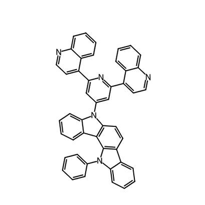 c1ccc(-n2c3ccccc3c3ccc4c(c5ccccc5n4-c4cc(-c5ccnc6ccccc56)nc(-c5ccnc6ccccc56)c4)c32)cc1